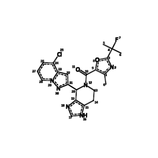 Cc1nc(C(C)(C)F)oc1C(=O)N1CCc2[nH]cnc2C1c1cc2c(Cl)cccn2n1